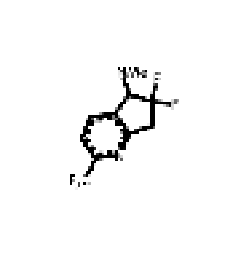 CNC1c2ccc(C(F)(F)F)nc2CC1(F)F